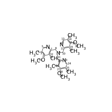 COc1c(C)cnc(CN(Cc2ncc(C)c(OC)c2C)Cc2ncc(C)c(OC)c2C)c1C